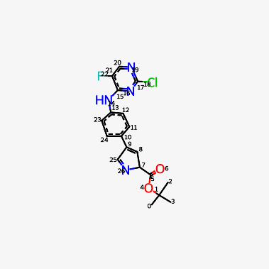 CC(C)(C)OC(=O)C1C=C(c2ccc(Nc3nc(Cl)ncc3F)cc2)C=N1